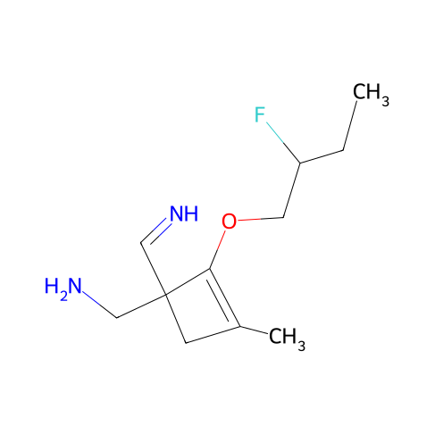 CCC(F)COC1=C(C)CC1(C=N)CN